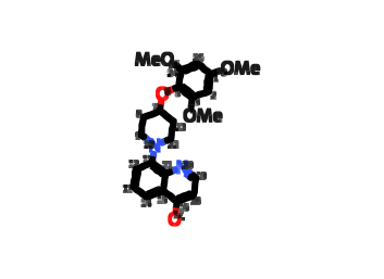 COc1cc(OC)c(OC2CCN(c3cccc4c([O])ccnc34)CC2)c(OC)c1